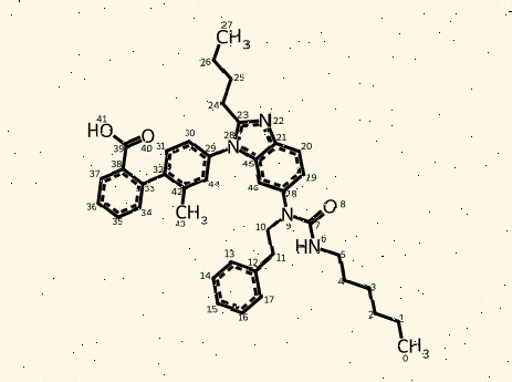 CCCCCCNC(=O)N(CCc1ccccc1)c1ccc2nc(CCCC)n(-c3ccc(-c4ccccc4C(=O)O)c(C)c3)c2c1